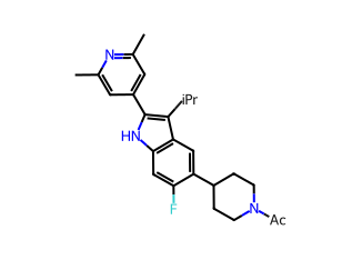 CC(=O)N1CCC(c2cc3c(C(C)C)c(-c4cc(C)nc(C)c4)[nH]c3cc2F)CC1